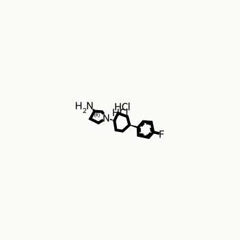 Cl.Cl.N[C@@H]1CCN([C@H]2CC[C@H](c3ccc(F)cc3)CC2)C1